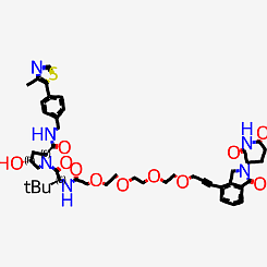 Cc1ncsc1-c1ccc(CNC(=O)[C@@H]2C[C@@H](O)CN2C(=O)[C@@H](NC(=O)COCCOCCOCCOCC#Cc2cccc3c2CN(C2CCC(=O)NC2=O)C3=O)C(C)(C)C)cc1